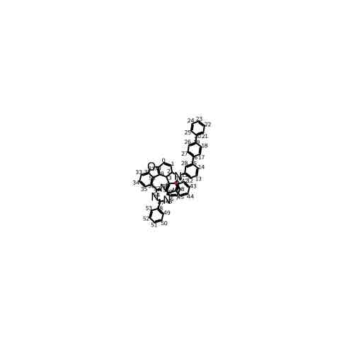 C1=CC2C(c3ccccc3N2c2cccc(-c3ccc(-c4ccccc4)cc3)c2)c2c1oc1cccc(-c3nc(-c4ccccc4)nc(-c4ccccc4)n3)c21